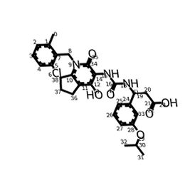 Cc1cccc(Cl)c1Cn1c2c(c(O)c(NC(=O)N[C@@H](CC(=O)O)c3cccc(OC(C)C)c3)c1=O)CCC2